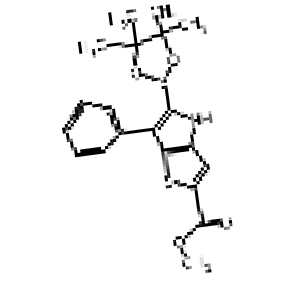 COC(=O)c1cc2[nH]c(B3OC(C)(C)C(C)(C)O3)c(-c3ccccc3)c2s1